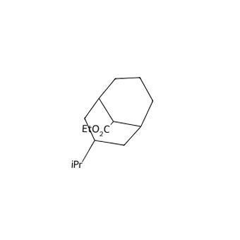 CCOC(=O)C1C2CCCC1CC(C(C)C)C2